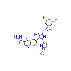 NC(=O)C1=NC2C=C(c3[nH]c(CNc4cc(F)cc(F)c4)nc3-c3ccn(C4CC4)n3)C=CC2N=C1